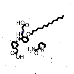 CCCCCCCCCCCCCCOc1cccc(Nc2cccc(CC(=O)O)c2)c1/C=C/CC(=O)O.NC(=O)c1ccccn1